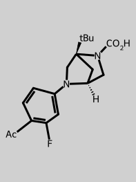 CC(=O)c1ccc(N2C[C@@]3(C(C)(C)C)C[C@H]2CN3C(=O)O)cc1F